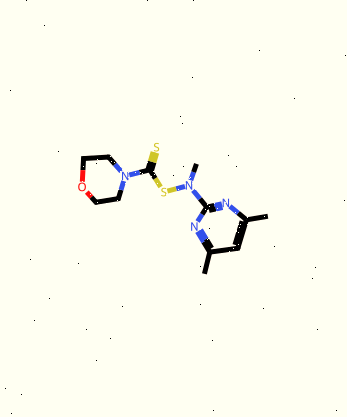 Cc1cc(C)nc(N(C)SC(=S)N2CCOCC2)n1